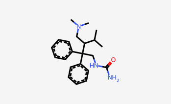 CC(C)C(CN(C)C)C(CNC(N)=O)(c1ccccc1)c1ccccc1